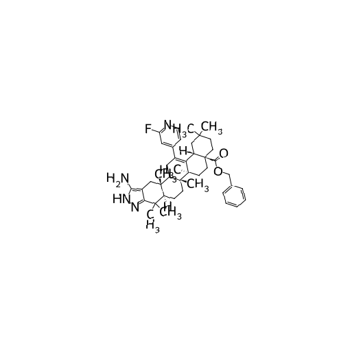 CC1(C)CC[C@]2(C(=O)OCc3ccccc3)CC[C@]3(C)C(=C(c4ccnc(F)c4)CC4[C@@]5(C)Cc6c(n[nH]c6N)C(C)(C)[C@@H]5CC[C@]43C)[C@@H]2C1